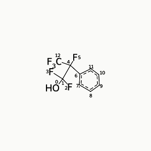 OC(F)(F)C(F)(c1[c]cccc1)C(F)(F)F